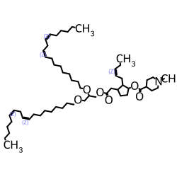 CC/C=C\CC1C(CC(=O)OCC(COCCCCCCCC/C=C\C/C=C\CCCCC)OCCCCCCCC/C=C\C/C=C\CCCCC)CCC1OC(=O)C1CCN(C)CC1